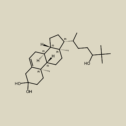 CC(CCC(O)C(C)(C)C)[C@H]1CC[C@H]2[C@@H]3CC=C4CC(O)(O)CC[C@]4(C)[C@H]3CC[C@]12C